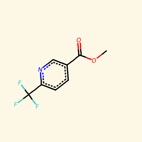 COC(=O)c1ccc(C(F)(F)F)nc1